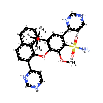 COc1c(Oc2c(-c3ccncn3)ccc3ccccc23)c(C(C)(C)C)cc(-c2ccncn2)c1S(N)(=O)=O